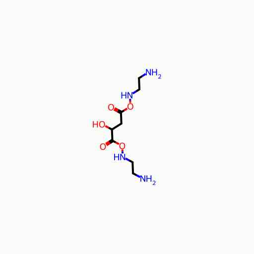 NCCNOC(=O)CC(O)C(=O)ONCCN